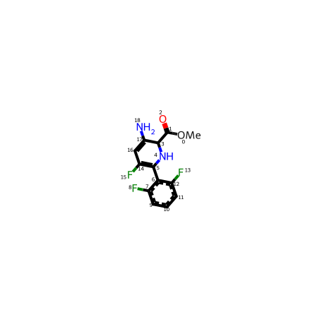 COC(=O)C1NC(c2c(F)cccc2F)=C(F)C=C1N